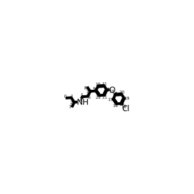 CCC(C)NCCC(C)c1ccc(Oc2ccc(Cl)cc2)cc1